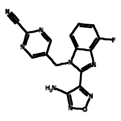 N#Cc1ncc(Cn2c(-c3nonc3N)nc3c(F)cccc32)cn1